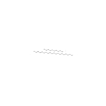 CCCCCCCCCCCC.O=C(O)CCCCCCCCCCCCCCCCCCCCC(=O)O